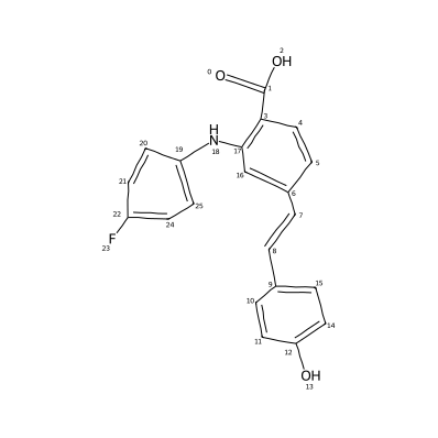 O=C(O)c1ccc(/C=C/c2ccc(O)cc2)cc1Nc1ccc(F)cc1